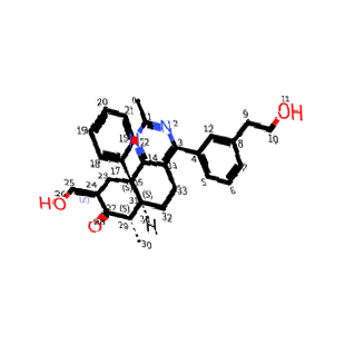 Cc1nc(-c2cccc(CCO)c2)c2c(n1)[C@@]1(c3ccccc3)C/C(=C/O)C(=O)[C@@H](C)[C@@H]1CC2